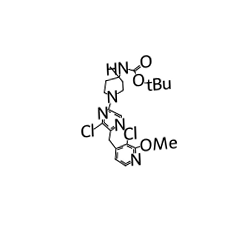 COc1nccc(Cc2ncc(N3CCC(C)(NC(=O)OC(C)(C)C)CC3)nc2Cl)c1Cl